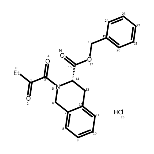 CCC(=O)C(=O)N1Cc2ccccc2C[C@H]1C(=O)OCc1ccccc1.Cl